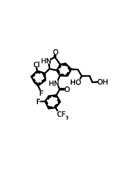 O=C(Nc1cc(CC(O)CCO)cc2c1C(c1cc(F)ccc1Cl)NC2=O)c1cc(F)cc(C(F)(F)F)c1